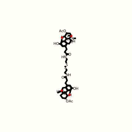 CC(=O)O[C@H]1CCC2[C@H]3Cc4c(CCC(=O)NCCSSCCNC(=O)CCc5cc(O)c6c7c5C[C@H]5C8CC[C@@H](OC(C)=O)[C@@H](O6)[C@@]78CCN5C)cc(O)c5c4[C@@]2(CCN3C)[C@H]1O5